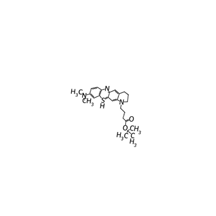 CN(C)c1ccc2c(c1)[SH]=c1cc3c(cc1=N2)CCCN3CCCC(=O)OC(C)(C)C